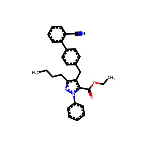 CCCCc1nn(-c2ccccc2)c(C(=O)OCC)c1Cc1ccc(-c2ccccc2C#N)cc1